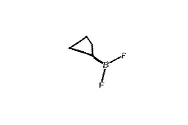 FB(F)C1CC1